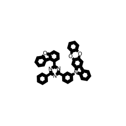 c1ccc(-c2nc(-c3cccc(-n4c5ccccc5c5cc6c(cc54)Oc4ccccc4O6)c3)nc(-c3cccc4oc5ccccc5c34)n2)cc1